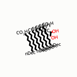 CC(O)CO.CCCCCCCCCCCCCCCCCC(=O)O.CCCCCCCCCCCCCCCCCC(=O)O.CCCCCCCCCCCCCCCCCC(=O)O.CCCCCCCCCCCCCCCCCC(=O)O.CCCCCCCCCCCCCCCCCC(=O)O.CCCCCCCCCCCCCCCCCC(=O)O